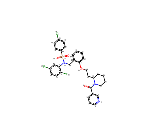 O=C(c1cccnc1)N1CCCCC1CCOc1ccccc1CN(c1cc(F)ccc1F)S(=O)(=O)c1ccc(Cl)cc1